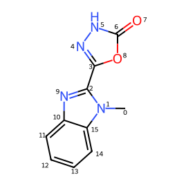 Cn1c(-c2n[nH]c(=O)o2)nc2ccccc21